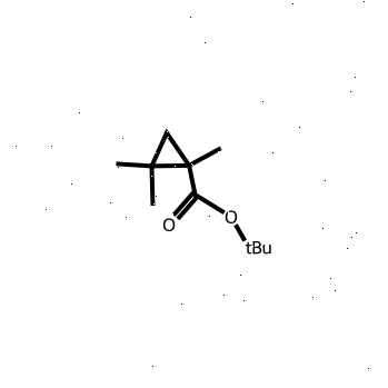 CC(C)(C)OC(=O)C1(C)CC1(C)C